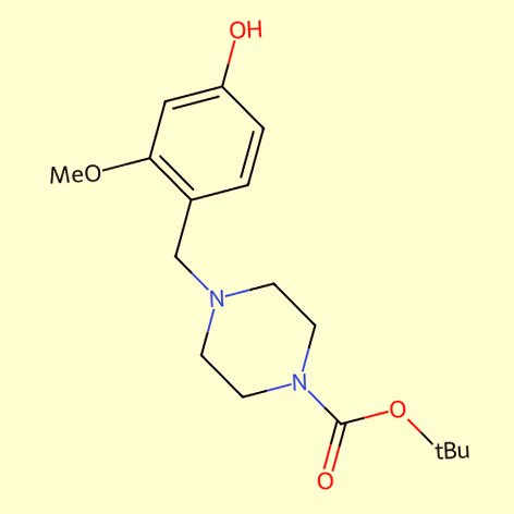 COc1cc(O)ccc1CN1CCN(C(=O)OC(C)(C)C)CC1